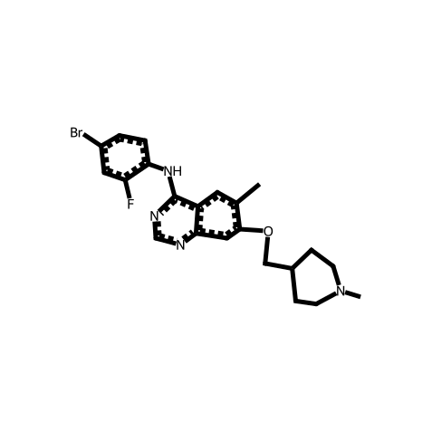 Cc1cc2c(Nc3ccc(Br)cc3F)ncnc2cc1OCC1CCN(C)CC1